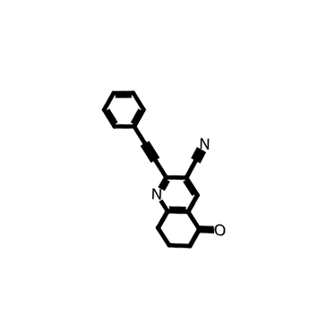 N#Cc1cc2c(nc1C#Cc1ccccc1)CCCC2=O